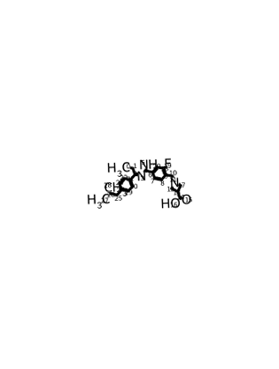 CC/C(=N\C(=N)c1ccc(CN2CC(C(=O)O)C2)c(F)c1)c1ccc(CC(C)C)cc1